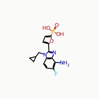 Nc1c(F)ccc2c1nc(-c1ccc(P(=O)(O)O)o1)n2CC1CC1